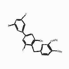 COc1ccc(Cc2c(O)cc(-c3cc(F)cc(F)c3)cc2F)cc1OC